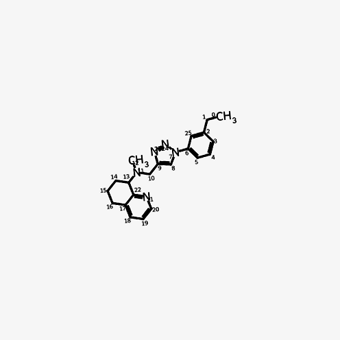 CCc1cccc(-n2cc(CN(C)C3CCCc4cccnc43)nn2)c1